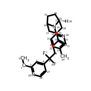 COc1cc(C(F)(F)CCC(=O)N2CC3CC[C@@H](C2)N3c2ccc(C)cn2)ccn1